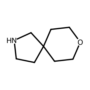 C1CC2(CCOCC2)CN1